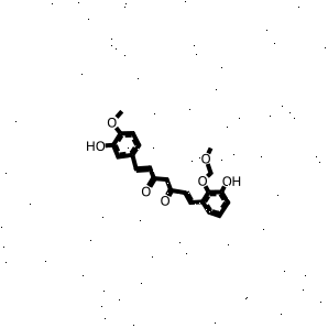 COCOc1c(O)cccc1C=CC(=O)CC(=O)C=Cc1ccc(OC)c(O)c1